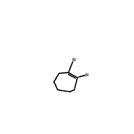 BrC1=C(Br)CC[CH]CC1